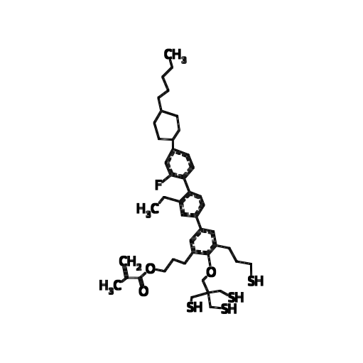 C=C(C)C(=O)OCCCc1cc(-c2ccc(-c3ccc(C4CCC(CCCCC)CC4)cc3F)c(CC)c2)cc(CCCS)c1OCC(CS)(CS)CS